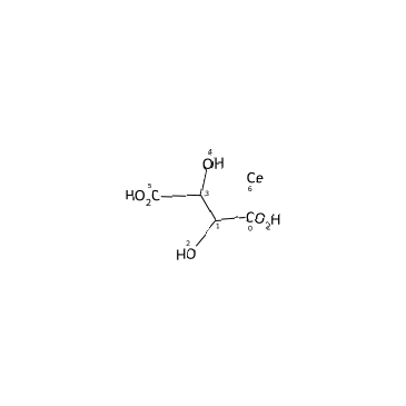 O=C(O)C(O)C(O)C(=O)O.[Ce]